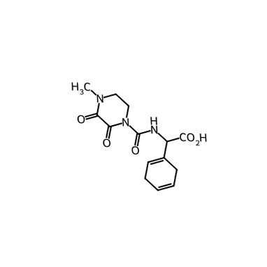 CN1CCN(C(=O)NC(C(=O)O)C2=CCC=CC2)C(=O)C1=O